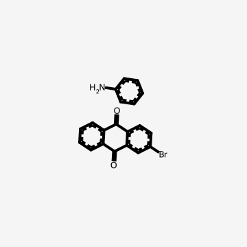 Nc1ccccc1.O=C1c2ccccc2C(=O)c2cc(Br)ccc21